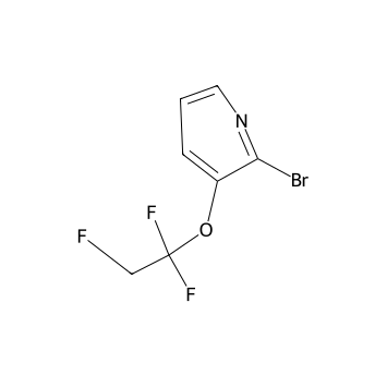 FCC(F)(F)Oc1cccnc1Br